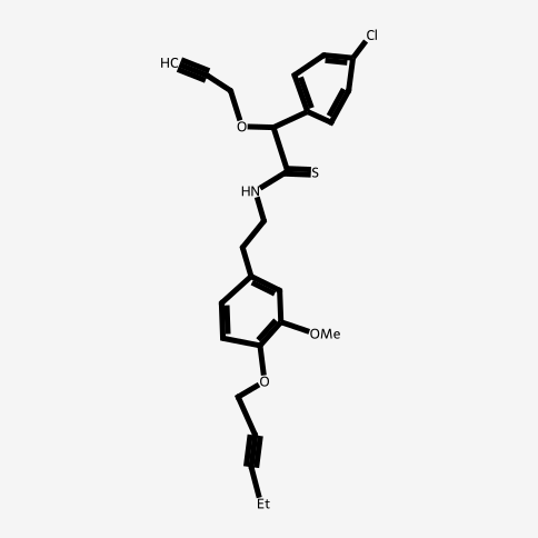 C#CCOC(C(=S)NCCc1ccc(OCC#CCC)c(OC)c1)c1ccc(Cl)cc1